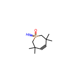 CC1(C)C#CC(C)(C)CS(=N)(=O)C1